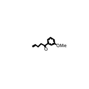 C=CCCC(=O)c1cccc(OC)c1